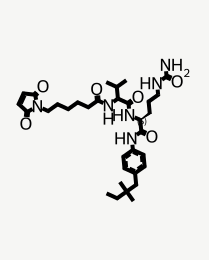 CCC(C)(C)Cc1ccc(NC(=O)[C@H](CCCNC(N)=O)NC(=O)C(NC(=O)CCCCCN2C(=O)C=CC2=O)C(C)C)cc1